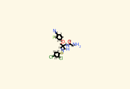 N#Cc1ccc(OCC2(CNC(=O)CN)CN(Sc3ccc(Cl)cc3Cl)C2)cc1F